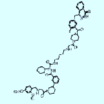 CCOc1cc(OC)ccc1CNCC(=O)N1CCCC(c2cccc(C(=O)N[C@@H](C(=O)NCCCCCNCC(=O)N3CCN(C(=O)c4cc(Cc5n[nH]c(=O)c6ccccc56)ccc4F)CC3)C3CCCCC3)c2)C1